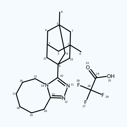 CC12CC3CC(C)(C1)CC(c1nnc4n1CCCCCC4)(C3)C2.O=C(O)C(F)(F)F